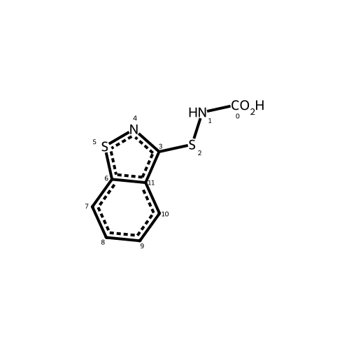 O=C(O)NSc1nsc2ccccc12